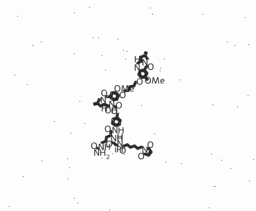 C=C1C[C@H]2C=Nc3cc(OCCCCCOc4cc5c(cc4OC)C(=O)N4CC(=C)C[C@H]4[C@H](O)N5C(=O)OCc4ccc(NC(=O)C(CCCNC(N)=O)NC(=O)C(NC(=O)CCCCCN5C(=O)C=CC5=O)C(C)C)cc4)c(OC)cc3C(=O)N2C1